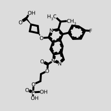 CC(C)c1nc(O[C@H]2C[C@H](C(=O)O)C2)c2cc3c(cnn3C(=O)OCCOP(=O)(O)O)cc2c1-c1ccc(F)cc1